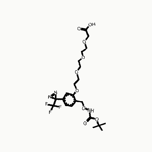 CC(C)(C)OC(=O)NOCc1ccc(C2(C(F)(F)F)N=N2)cc1OCCOCCOCCOCC(=O)O